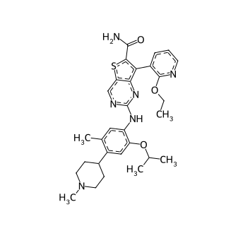 CCOc1ncccc1-c1c(C(N)=O)sc2cnc(Nc3cc(C)c(C4CCN(C)CC4)cc3OC(C)C)nc12